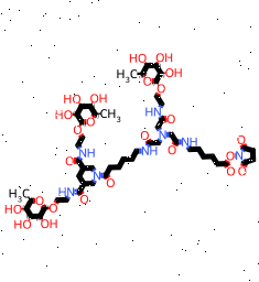 C[C@@H]1O[C@@H](OCCNC(=O)CN(CC(=O)NCCCCCC(=O)ON2C(=O)CCC2=O)CC(=O)NCCCCCC(=O)N2CC(C(=O)NCCO[C@@H]3O[C@@H](C)[C@@H](O)[C@@H](O)[C@@H]3O)CC(C(=O)NCCO[C@@H]3O[C@@H](C)[C@@H](O)[C@@H](O)[C@@H]3O)C2)[C@@H](O)[C@H](O)[C@@H]1O